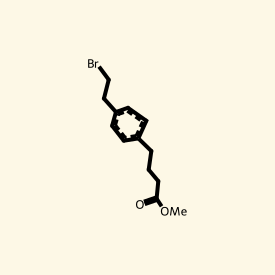 COC(=O)CCCc1ccc(CCBr)cc1